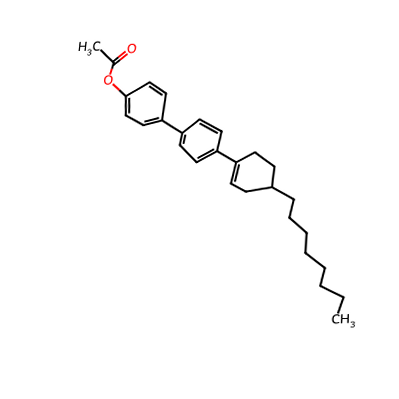 CCCCCCCCC1CC=C(c2ccc(-c3ccc(OC(C)=O)cc3)cc2)CC1